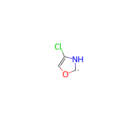 ClC1=CO[CH]N1